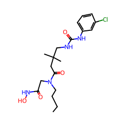 CCCCN(CC(=O)NO)C(=O)CC(C)(C)CNC(=O)Nc1cccc(Cl)c1